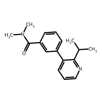 CC(C)c1ncccc1-c1cccc(C(=O)N(C)C)c1